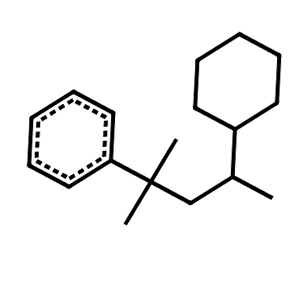 CC(CC(C)(C)c1ccccc1)C1CCCCC1